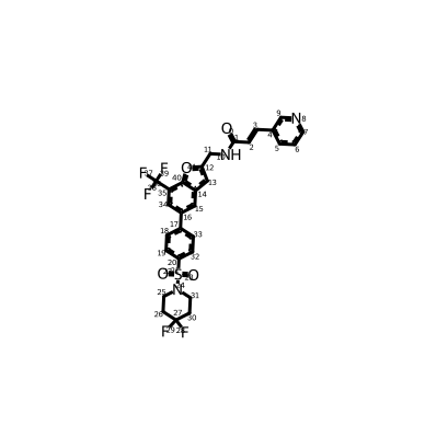 O=C(C=Cc1cccnc1)NCc1cc2cc(-c3ccc(S(=O)(=O)N4CCC(F)(F)CC4)cc3)cc(C(F)(F)F)c2o1